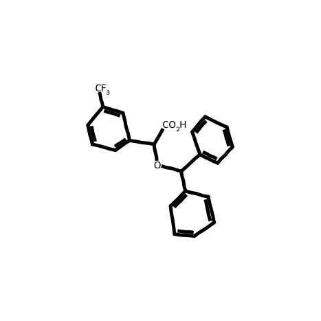 O=C(O)C(OC(c1ccccc1)c1ccccc1)c1cccc(C(F)(F)F)c1